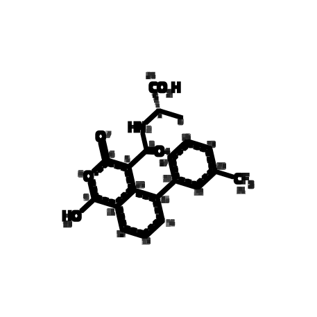 C[C@H](NC(=O)c1c(=O)oc(O)c2cccc(-c3cccc(C(F)(F)F)c3)c12)C(=O)O